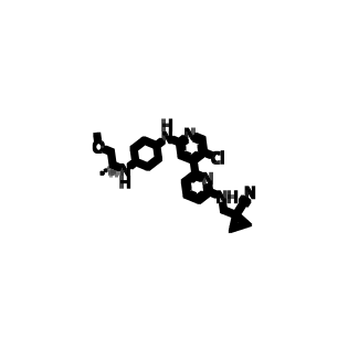 COC[C@@H](C)NC1CCC(Nc2cc(-c3cccc(NCC4(C#N)CC4)n3)c(Cl)cn2)CC1